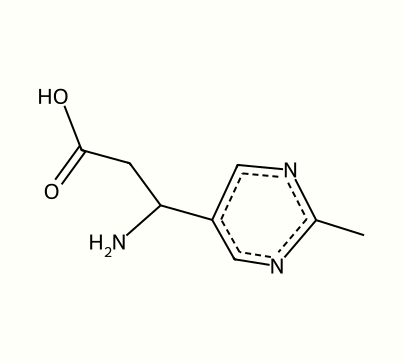 Cc1ncc(C(N)CC(=O)O)cn1